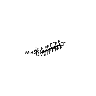 CC[Si](OC)(OC)OCC(F)(F)C(F)(F)C(F)(F)C(F)(F)C(F)(F)C(F)(F)C(F)(F)C(F)(F)F